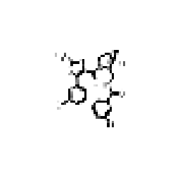 Cc1nc(C(=O)N2CC3C[C@@H]3C2CNC(=O)c2cccc(Cl)c2)c(-c2cccc(Cl)c2)s1